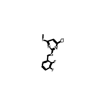 CSc1cc(Cl)nc(SCc2cccc(F)c2F)n1